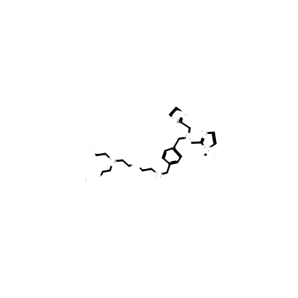 CCCN(CCC)CCOCCN(C)Cc1ccc(CN(Cc2ncc[nH]2)Cc2nccn2C)cc1